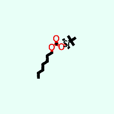 CCCCCCCOC(=O)O[Si](C)(C)C(C)(C)C